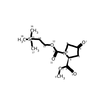 COC(=O)[C@@H]1CC(=O)CN1C(=O)OCC[Si](C)(C)C